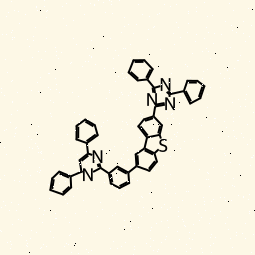 c1ccc(-c2cc(-c3ccccc3)nc(-c3cccc(-c4ccc5sc6cc(-c7nc(-c8ccccc8)nc(-c8ccccc8)n7)ccc6c5c4)c3)n2)cc1